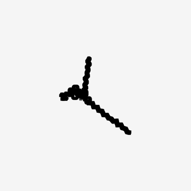 CCCCCCCCCCCCCCCCCCOC[C@H](COP(=O)([O-])OCC[N+](C)(C)C)OCCCCCCCCCCCC